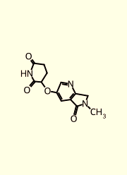 CN1Cc2ncc(OC3CCC(=O)NC3=O)cc2C1=O